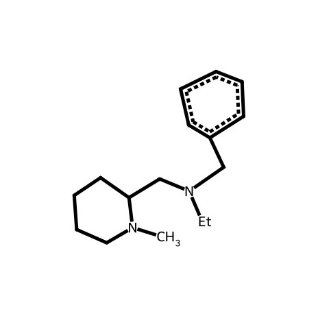 CCN(Cc1ccccc1)CC1CCCCN1C